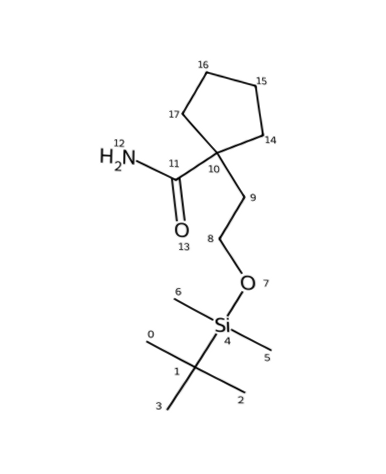 CC(C)(C)[Si](C)(C)OCCC1(C(N)=O)CCCC1